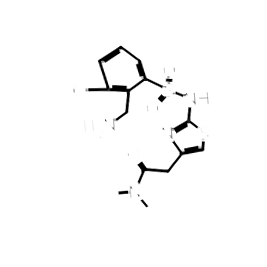 CN(C)C(=O)Cc1csc(NS(=O)(=O)c2cccc(Cl)c2CN)n1